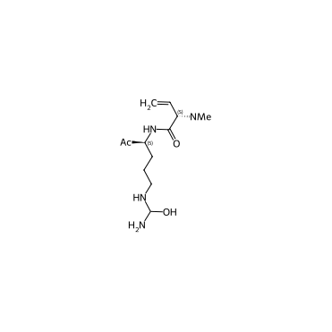 C=C[C@H](NC)C(=O)N[C@@H](CCCNC(N)O)C(C)=O